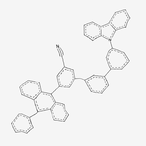 N#Cc1cc(-c2cccc(-c3cccc(-n4c5ccccc5c5ccccc54)c3)c2)cc(-c2c3ccccc3c(-c3ccccc3)c3ccccc23)c1